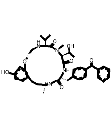 CC(C)[C@@H]1NCCOc2cc(O)ccc2CC[C@@H](C)NC(=O)[C@@H](Cc2ccc(C(=O)c3ccccc3)cc2)NC(=O)[C@H](C(C)O)N(C)C1=O